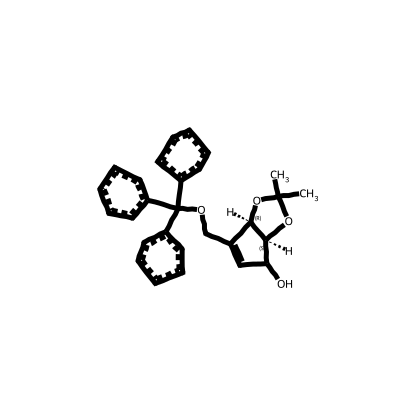 CC1(C)O[C@@H]2C(COC(c3ccccc3)(c3ccccc3)c3ccccc3)=CC(O)[C@@H]2O1